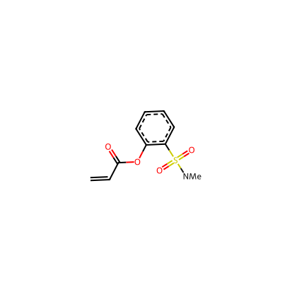 C=CC(=O)Oc1ccccc1S(=O)(=O)NC